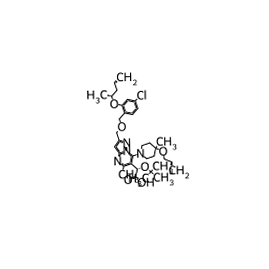 C=CCOC1(C)CCN(c2c([C@H](OC(C)(C)C)C(=O)O)c(C)nc3cc(COCc4ccc(Cl)cc4O[C@@H](C)CC=C)nn23)CC1